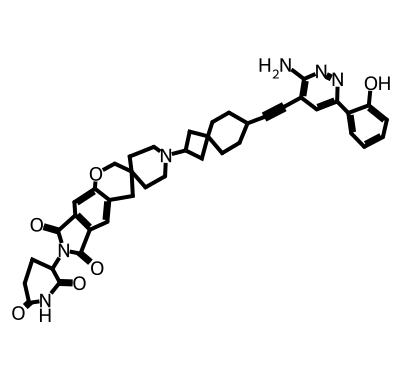 Nc1nnc(-c2ccccc2O)cc1C#CC1CCC2(CC1)CC(N1CCC3(CC1)COc1cc4c(cc1C3)C(=O)N(C1CCC(=O)NC1=O)C4=O)C2